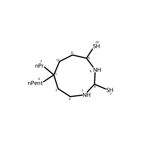 CCCCCC1(CCC)CCNC(S)NC(S)CC1